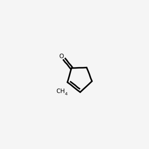 C.O=C1C=CCC1